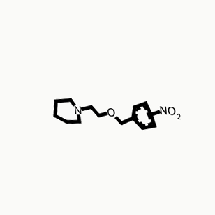 O=[N+]([O-])c1ccc(COCCN2CCCCC2)cc1